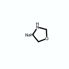 C1COCN1.[NaH]